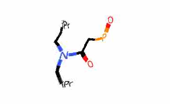 CC(C)CN(CC(C)C)C(=O)CP=O